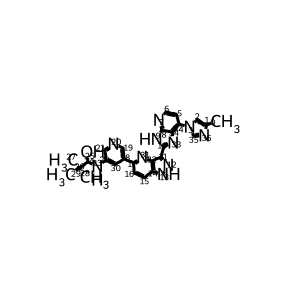 Cc1cn(-c2ccnc3[nH]c(-c4n[nH]c5ccc(-c6cncc(NC(O)C(C)(C)C)c6)nc45)nc23)cn1